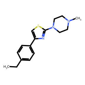 CCc1ccc(-c2csc(N3CCN(C)CC3)n2)cc1